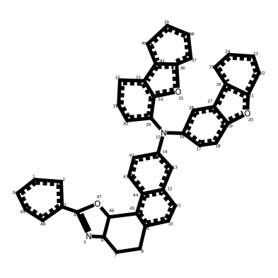 c1ccc(C2=NC3CCc4ccc5cc(N(c6ccc7oc8ccccc8c7c6)c6cccc7c6oc6ccccc67)ccc5c4C3O2)cc1